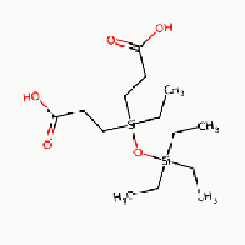 CC[Si](CC)(CC)O[Si](CC)(CCC(=O)O)CCC(=O)O